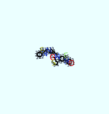 O=C(c1cccs1)N(CC1C2CN(Cc3nc4c(s3)CCCC4)CC21)c1ccc(N2CCOCC2)c(F)c1